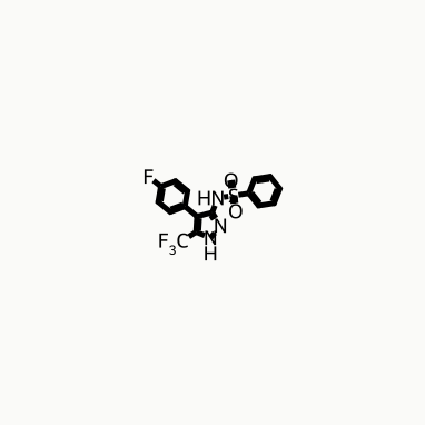 O=S(=O)(Nc1n[nH]c(C(F)(F)F)c1-c1ccc(F)cc1)c1ccccc1